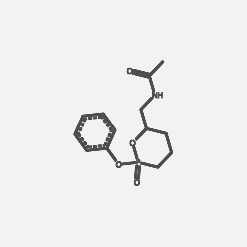 CC(=O)NCC1CCCP(=O)(Oc2ccccc2)O1